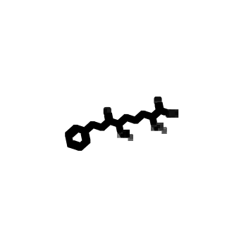 NC(CCCC(N)C(=O)CCc1ccccc1)C(=O)O